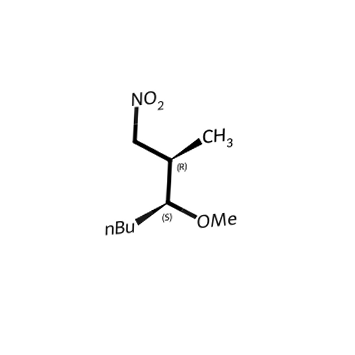 CCCC[C@H](OC)[C@H](C)C[N+](=O)[O-]